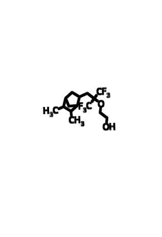 CC1C2CC(CC(OCCO)(C(F)(F)F)C(F)(F)F)C(C2)C1C